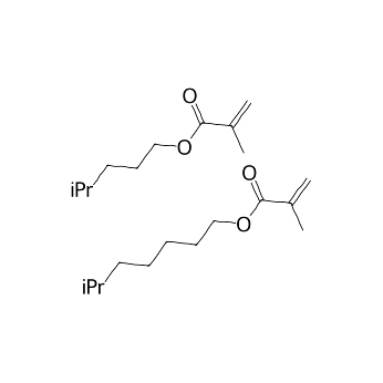 C=C(C)C(=O)OCCCC(C)C.C=C(C)C(=O)OCCCCCC(C)C